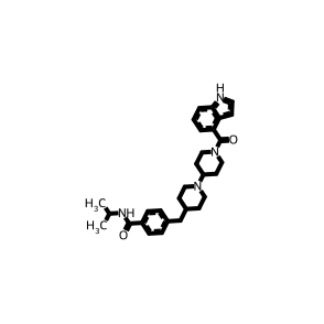 CC(C)NC(=O)c1ccc(CC2CCN(C3CCN(C(=O)c4cccc5[nH]ccc45)CC3)CC2)cc1